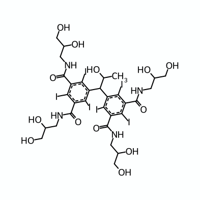 CC(O)C(c1c(I)c(C(=O)NCC(O)CO)c(I)c(C(=O)NCC(O)CO)c1I)c1c(I)c(C(=O)NCC(O)CO)c(I)c(C(=O)NCC(O)CO)c1I